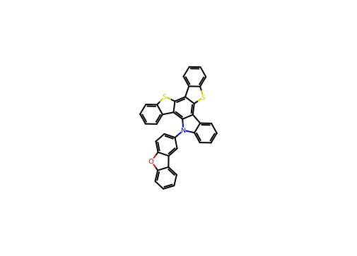 c1ccc2c(c1)oc1ccc(-n3c4ccccc4c4c5sc6ccccc6c5c5sc6ccccc6c5c43)cc12